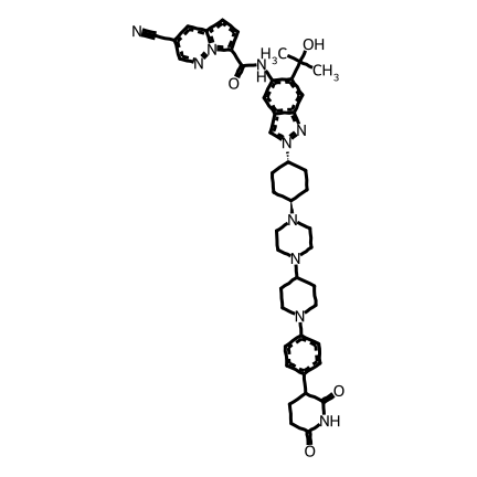 CC(C)(O)c1cc2nn([C@H]3CC[C@H](N4CCN(C5CCN(c6ccc(C7CCC(=O)NC7=O)cc6)CC5)CC4)CC3)cc2cc1NC(=O)c1ccc2cc(C#N)cnn12